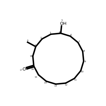 CC1CCC(O)CCCCCCCCCCC(=O)C1